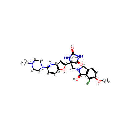 COc1ccc2c(c1F)C(=O)N(C[C@@]1(c3cc4nc(N5CCN(C)CC5)ccc4o3)NC(=O)NC1=O)C2